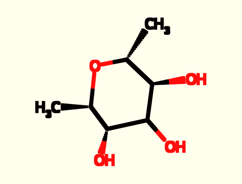 C[C@@H]1O[C@H](C)[C@@H](O)C(O)[C@@H]1O